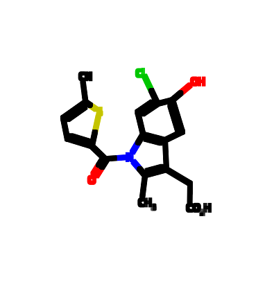 Cc1c(CC(=O)O)c2cc(O)c(Cl)cc2n1C(=O)c1ccc(C#N)s1